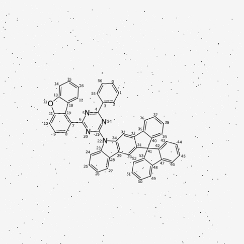 c1ccc(-c2nc(-c3cccc4oc5ccccc5c34)nc(-n3c4ccccc4c4cc5c(cc43)-c3ccccc3C53c4ccccc4-c4ccccc43)n2)cc1